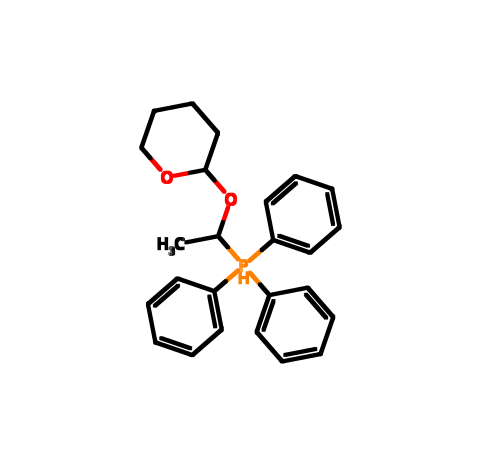 CC(OC1CCCCO1)[PH](c1ccccc1)(c1ccccc1)c1ccccc1